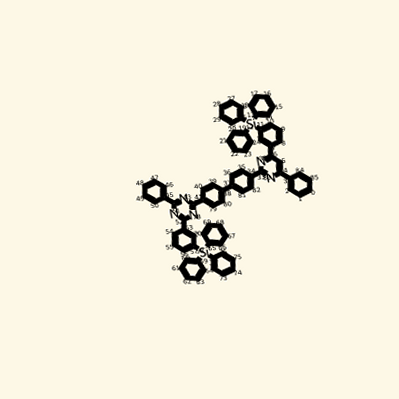 c1ccc(-c2cc(-c3cccc([Si](c4ccccc4)(c4ccccc4)c4ccccc4)c3)nc(-c3ccc(-c4ccc(-c5nc(-c6ccccc6)nc(-c6cccc([Si](c7ccccc7)(c7ccccc7)c7ccccc7)c6)n5)cc4)cc3)n2)cc1